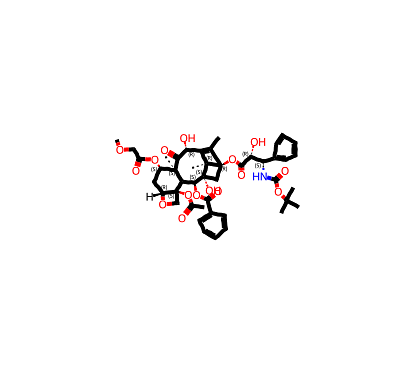 COCC(=O)O[C@H]1C[C@H]2OC[C@@]2(OC(C)=O)C2[C@H](OC(=O)c3ccccc3)[C@]3(O)C[C@@]4(OC(=O)[C@H](O)[C@@H](NC(=O)OC(C)(C)C)c5ccccc5)C(C)=C([C@@H](O)C(=O)[C@@]21C)[C@]34C